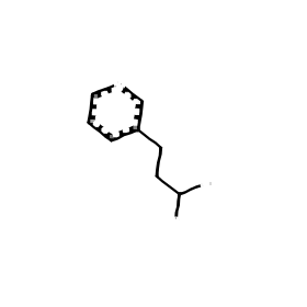 O=CC(O)CCc1cccnc1